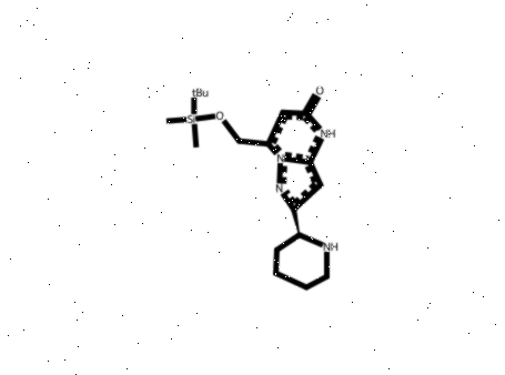 CC(C)(C)[Si](C)(C)OCc1cc(=O)[nH]c2cc([C@@H]3CCCCN3)nn12